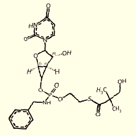 CC(C)(CO)C(=O)SCCOP(=O)(NCc1ccccc1)OC1[C@H]2[C@@H]1OC(n1ccc(=O)[nH]c1=O)[C@@H]2O